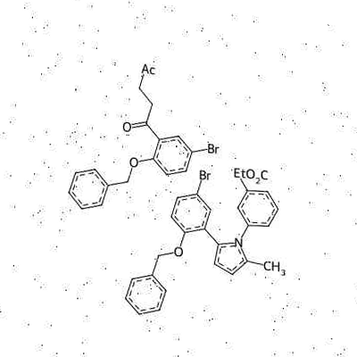 CC(=O)CCC(=O)c1cc(Br)ccc1OCc1ccccc1.CCOC(=O)c1cccc(-n2c(C)ccc2-c2cc(Br)ccc2OCc2ccccc2)c1